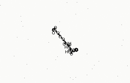 O=C(CCOCCOCCOCCN1C(=O)C=CC1=O)NCC(=O)NCC(=O)NC(Cc1ccccc1)C(=O)O